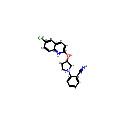 N#Cc1ccccc1N1CCC(Oc2ccc3cc(Cl)ccc3n2)C1